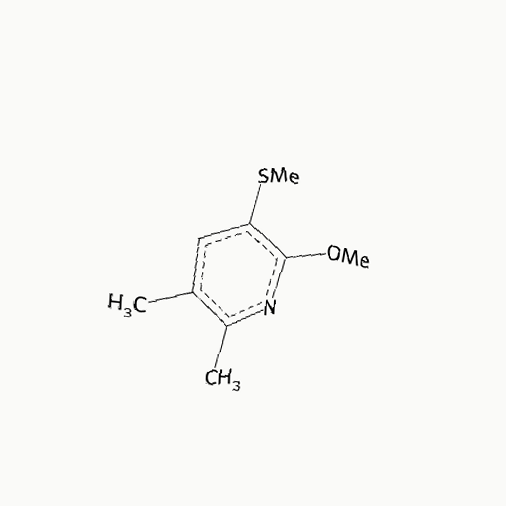 COc1nc(C)c(C)cc1SC